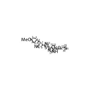 COc1ccc(COCC(CC#N)c2ncc(C3N=CNc4c3ccn4COCC[Si](C)(C)C)s2)cc1